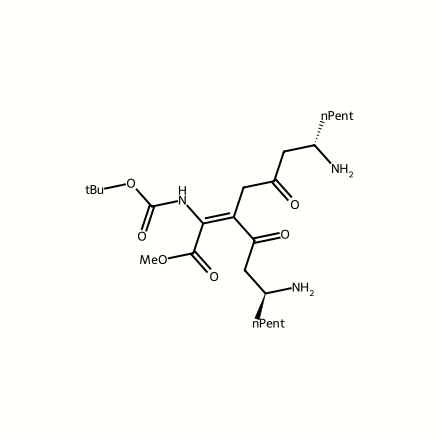 CCCCC[C@H](N)CC(=O)CC(C(=O)C[C@@H](N)CCCCC)=C(NC(=O)OC(C)(C)C)C(=O)OC